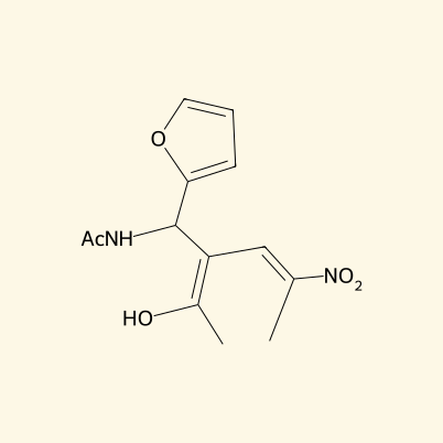 CC(=O)NC(C(/C=C(\C)[N+](=O)[O-])=C(/C)O)c1ccco1